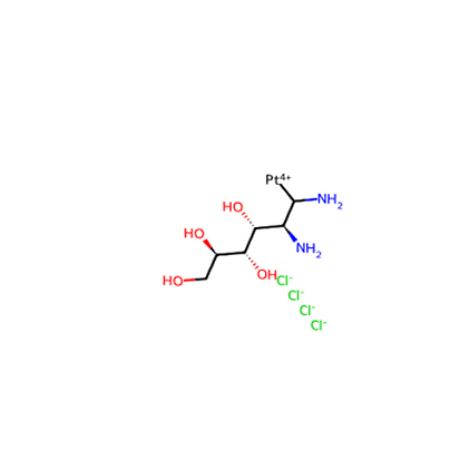 N[CH]([Pt+4])[C@@H](N)[C@@H](O)[C@H](O)[C@H](O)CO.[Cl-].[Cl-].[Cl-].[Cl-]